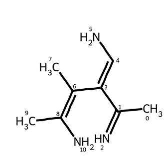 CC(=N)C(=C/N)/C(C)=C(/C)N